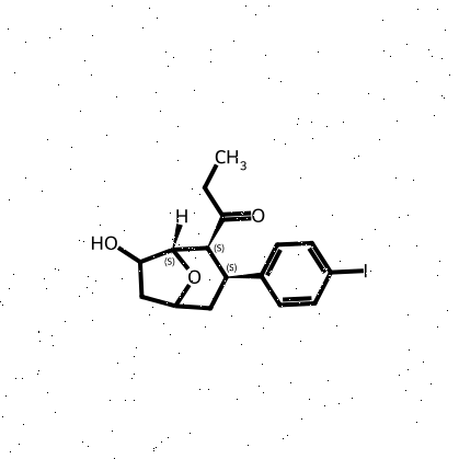 CCC(=O)[C@H]1[C@@H](c2ccc(I)cc2)CC2CC(O)[C@H]1O2